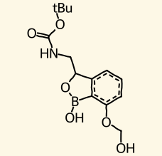 CC(C)(C)OC(=O)NCC1OB(O)c2c(OCO)cccc21